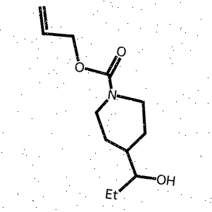 C=CCOC(=O)N1CCC(C(O)CC)CC1